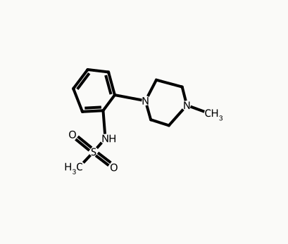 CN1CCN(c2ccccc2NS(C)(=O)=O)CC1